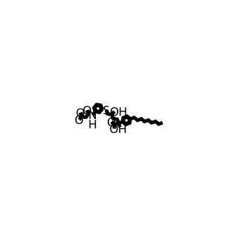 CCCCCCCCCc1ccc(C(C)(CCC(O)CSc2cccc(NC(=O)CC(=O)OC)c2)C(=O)O)cc1